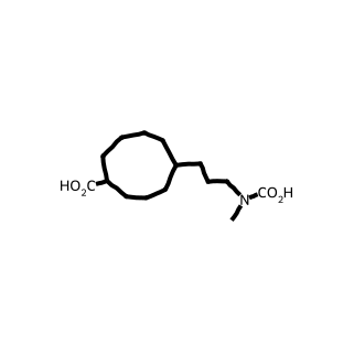 CN(CCCC1CCCCC(C(=O)O)CCC1)C(=O)O